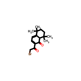 CC1(C)CCC(C)(C)C2C(=O)C(C(=O)CBr)=CC=C21